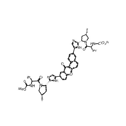 COC(=O)NC(C(=O)N1C[C@H](F)C[C@H]1c1ncc(-c2ccc3oc4ccc5cc(-c6cnc([C@@H]7C[C@@H](F)CN7C(=O)C(NC(=O)O)C(C)C)[nH]6)ccc5c4c(=O)c3c2)[nH]1)C(C)C